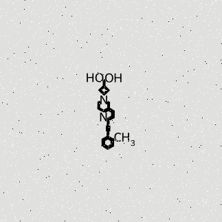 Cc1ccccc1C#Cc1ccc2c(n1)CCN(C1CC(C(O)O)C1)C2